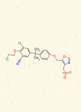 CC(C)(c1ccc(OCc2ocnc2C[SH](=O)=O)cc1)c1cc(Cl)c(OCCCl)c(C#N)c1